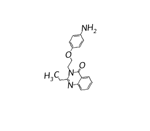 CCc1nc2ccccc2c(=O)n1CCOc1ccc(N)cc1